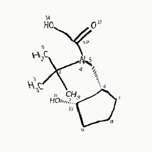 CC(C)(C)N(C[C@@H]1CCC[C@@H]1O)C(=O)O